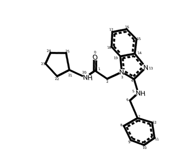 O=C(Cn1c(NCc2ccccc2)nc2ccccc21)NC1CCCC1